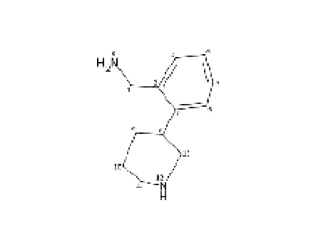 NCc1ccccc1C1CCCNC1